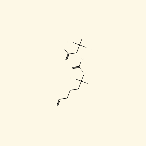 C=CCCCC(C)(C)NC(=O)N[C@H](C(=O)O)C(C)(C)C